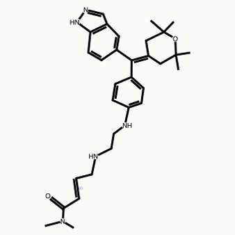 CN(C)C(=O)/C=C/CNCCNc1ccc(C(=C2CC(C)(C)OC(C)(C)C2)c2ccc3[nH]ncc3c2)cc1